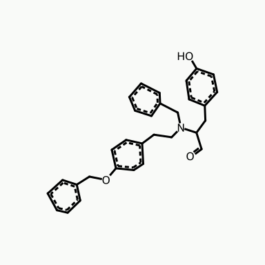 O=CC(Cc1ccc(O)cc1)N(CCc1ccc(OCc2ccccc2)cc1)Cc1ccccc1